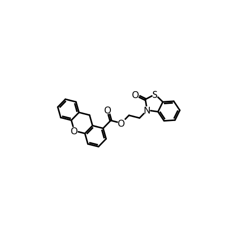 O=C(OCCn1c(=O)sc2ccccc21)c1cccc2c1Cc1ccccc1O2